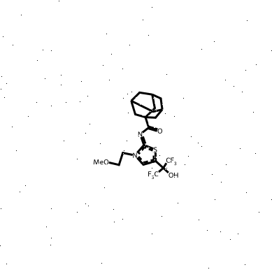 COCCn1cc(C(O)(C(F)(F)F)C(F)(F)F)sc1=NC(=O)C12CC3CC(CC(C3)C1)C2